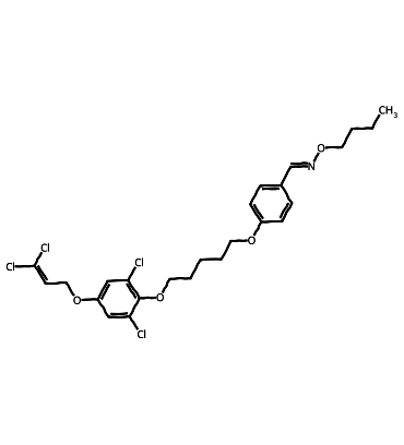 CCCCON=Cc1ccc(OCCCCCOc2c(Cl)cc(OCC=C(Cl)Cl)cc2Cl)cc1